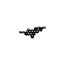 COc1ccc(COC2CC(C)(C)Cc3nc(C4CCN(c5ncc(O)cn5)CC4)c(C(F)c4ccc(C(F)(F)F)cc4)c(C4CCC(F)(F)CC4)c32)cc1